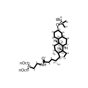 CCCCCCCCN(CCCCCCCC)CCNC(=O)CC[C@@H](C)[C@H]1CC[C@H]2[C@@H]3CCC4C[C@H](O[Si](C)(C)C(C)(C)C)CC[C@]4(C)[C@H]3CC[C@]12C